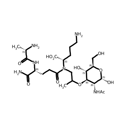 CC(=O)N[C@@H]1[C@@H](OC(C)CN(C(=O)CC[C@@H](NC(=O)[C@H](C)N)C(N)=O)[C@@H](CCCN)C(=O)O)[C@H](O)[C@@H](CO)O[C@@H]1O